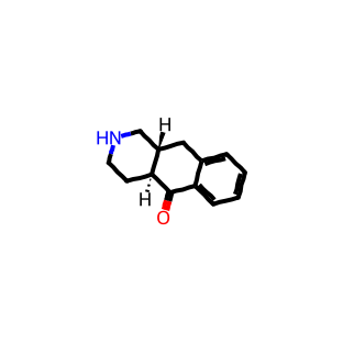 O=C1c2ccccc2C[C@H]2CNCC[C@H]12